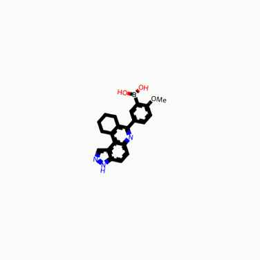 COc1ccc(-c2nc3ccc4[nH]ncc4c3c3c2CCCC3)cc1B(O)O